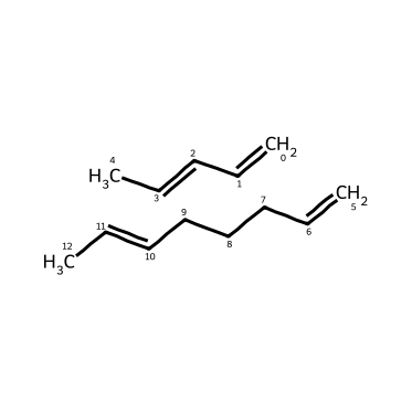 C=CC=CC.C=CCCCC=CC